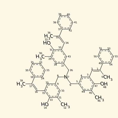 CC(=Cc1cc(CN(Cc2cc(C)c(O)c(C=C(C)c3ccccc3)c2)Cc2cc(C)c(O)c(C=C(C)c3ccccc3)c2)cc(C)c1O)c1ccccc1